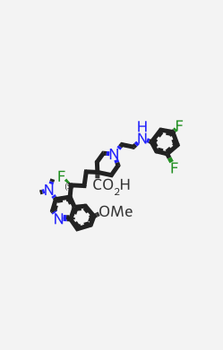 COc1ccc2ncc(N(C)C)c([C@@H](F)CCC3(C(=O)O)CCN(CCNc4cc(F)cc(F)c4)CC3)c2c1